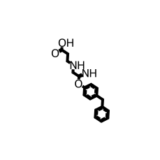 N=C(CNCCC(=O)O)Oc1ccc(Cc2ccccc2)cc1